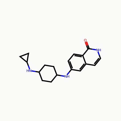 O=c1[nH]ccc2cc(NC3CCC(NC4CC4)CC3)ccc12